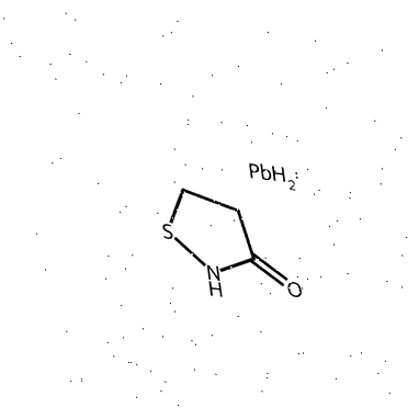 O=C1CCSN1.[PbH2]